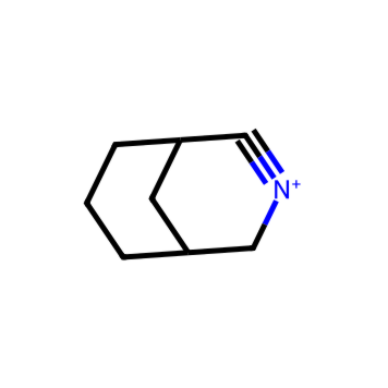 C1#[N+]CC2CCCC1C2